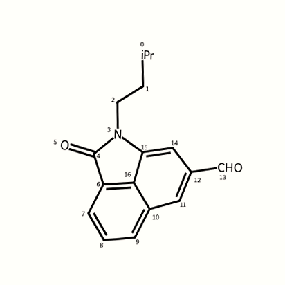 CC(C)CCN1C(=O)c2cccc3cc(C=O)cc1c23